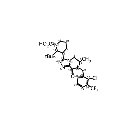 CC1Cn2c(nnc2C2CCCN(C(=O)O)C2C(C)(C)C)C(=O)N1Cc1cccc(C(F)(F)F)c1Cl